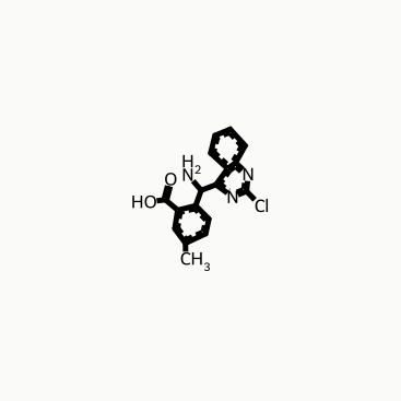 Cc1ccc(C(N)c2nc(Cl)nc3ccccc23)c(C(=O)O)c1